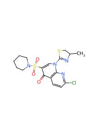 CC1CSC(n2cc(S(=O)(=O)N3CCCCC3)c(=O)c3ccc(Cl)nc32)=N1